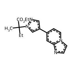 CCOC(=O)C(C)(CC)n1cc(-c2ccn3ccnc3c2)cn1